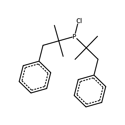 CC(C)(Cc1ccccc1)P(Cl)C(C)(C)Cc1ccccc1